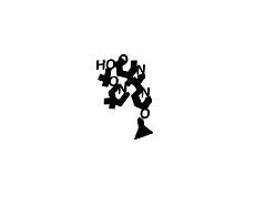 Cc1ncc(-c2ccc(OCC3CC3)cn2)c(N2CCC(C)(C)CC2)c1[C@H](OC(C)(C)C)C(=O)O